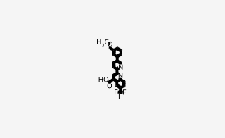 COCc1cccc(-c2ccc(-c3cc(C(=O)O)c4cc(C(F)(F)F)ccc4n3)nc2)c1